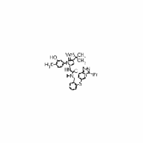 CSC(C)(C)c1cc(NC(=O)NCc2ccccc2Sc2ccc3nnc(C(C)C)n3c2)n(-c2ccc(C)c(O)c2)n1